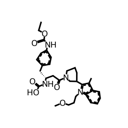 CCOC(=O)Nc1ccc(C[C@H](CC(=O)N2CCCC(c3c(C)c4ccccc4n3CCCOC)C2)NC(=O)O)cc1